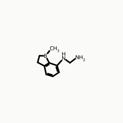 CB1CCc2cccc(NCN)c21